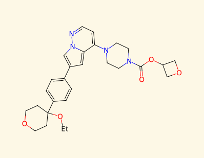 CCOC1(c2ccc(-c3cc4c(N5CCN(C(=O)OC6COC6)CC5)ccnn4c3)cc2)CCOCC1